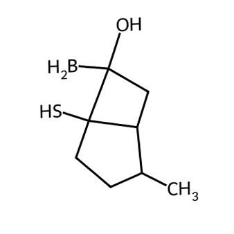 BC1(O)CC2C(C)CCC21S